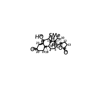 CSC1[C@@H]2C(CC[C@@]3(C)[C@H]2CC[C@@]32CCC(=O)O2)[C@@]2(C)CCC(=O)C=C2[C@@H]1O